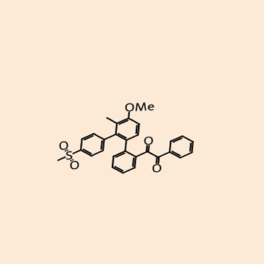 COc1ccc(-c2ccccc2C(=O)C(=O)c2ccccc2)c(-c2ccc(S(C)(=O)=O)cc2)c1C